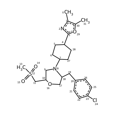 Cc1nc(C2CCC(N3CC(CS(C)(=O)=O)OCC3Cc3ccc(Cl)cc3)CC2)oc1C